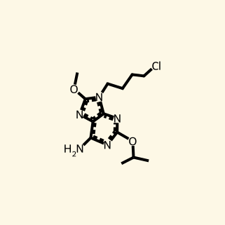 COc1nc2c(N)nc(OC(C)C)nc2n1CCCCCl